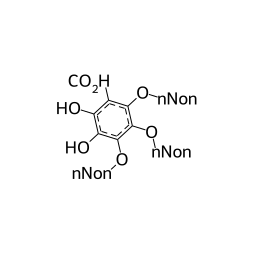 CCCCCCCCCOc1c(O)c(O)c(C(=O)O)c(OCCCCCCCCC)c1OCCCCCCCCC